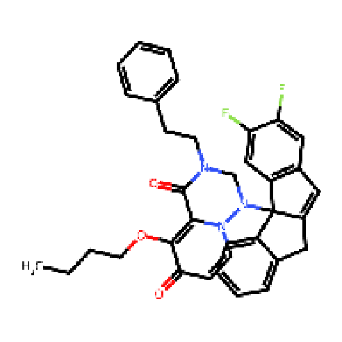 CCCCOc1c2n(ccc1=O)N(C13C(=Cc4cc(F)c(F)cc41)Cc1ccccc13)CN(CCc1ccccc1)C2=O